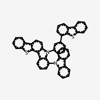 c1cc(-c2cccc3c2sc2ccccc23)cc(-n2c3ccc4c5ccccc5sc4c3c3cccc(-n4c5ccccc5c5ccccc54)c32)c1